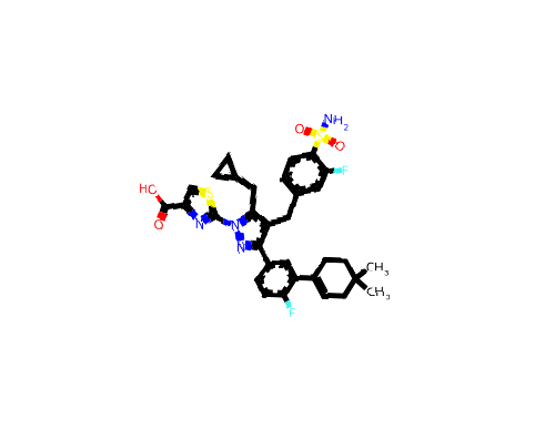 CC1(C)CC=C(c2cc(-c3nn(-c4nc(C(=O)O)cs4)c(CC4CC4)c3Cc3ccc(S(N)(=O)=O)c(F)c3)ccc2F)CC1